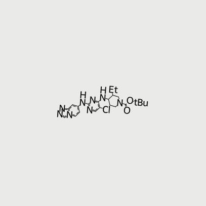 CCC1CN(C(=O)OC(C)(C)C)CCC1Nc1nc(Nc2ccn3cnnc3c2)ncc1Cl